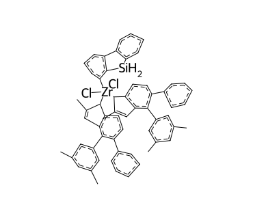 CC1=Cc2c(ccc(-c3ccccc3)c2-c2cc(C)cc(C)c2)[CH]1[Zr]([Cl])([Cl])([c]1cccc2c1[SiH2]c1ccccc1-2)[CH]1C(C)=Cc2c1ccc(-c1ccccc1)c2-c1cc(C)cc(C)c1